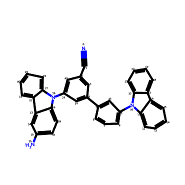 N#Cc1cc(-c2cccc(-n3c4ccccc4c4ccccc43)c2)cc(-n2c3ccccc3c3cc(N)ccc32)c1